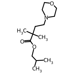 CC(C)COC(=O)C(C)(C)CCN1CCOCC1